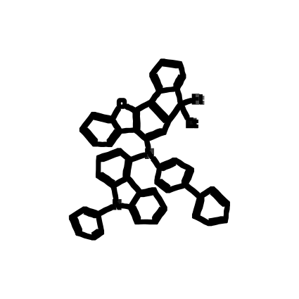 CCC1(CC)c2ccccc2-c2c1cc(N(c1ccc(-c3ccccc3)cc1)c1cccc3c1c1ccccc1n3-c1ccccc1)c1c2oc2ccccc21